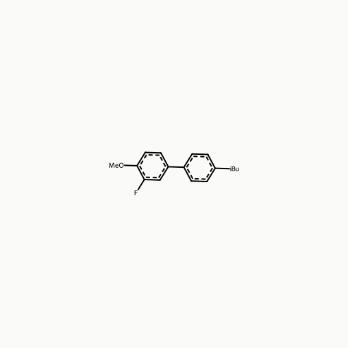 CCC(C)c1ccc(-c2ccc(OC)c(F)c2)cc1